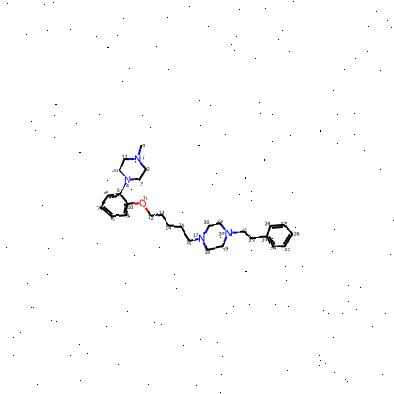 CN1CCN(c2ccccc2OCCCCCN2CCN(CCc3ccccc3)CC2)CC1